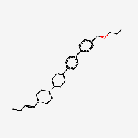 CC/C=C/[C@H]1CC[C@H](C2CCC(c3ccc(-c4ccc(COCCC)cc4)cc3)CC2)CC1